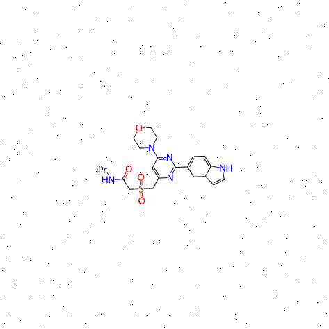 CC(C)NC(=O)CS(=O)(=O)Cc1cc(N2CCOCC2)nc(-c2ccc3[nH]ccc3c2)n1